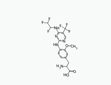 COc1cc(CC(N)C(=O)O)ccc1Nc1ncc(C(F)(F)F)c(NC(F)C(F)F)n1